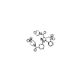 O=C(c1cccc(-n2nc(C(=O)N3CCOCC3)c3c2-c2ccccc2S(=O)(=O)C3)c1)N1CCS(=O)(=O)CC1